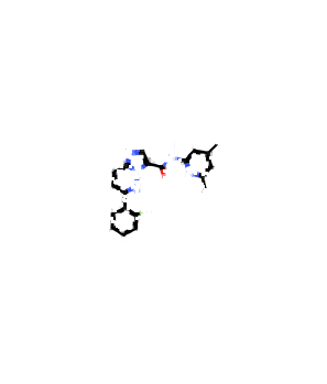 Cc1cc(C)nc(NC(=O)c2cnc3ccc(-c4ccccc4F)nn23)c1